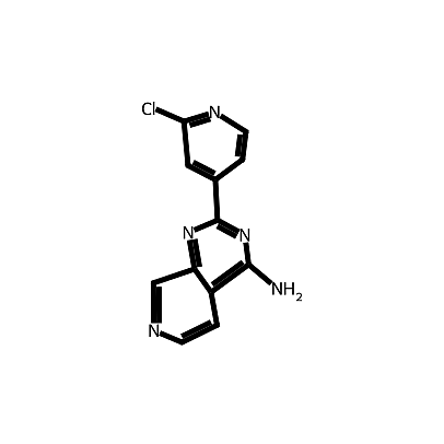 Nc1nc(-c2ccnc(Cl)c2)nc2cnccc12